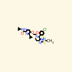 Cc1nn2c3c(nc2s1)CCN(C(=O)COc1ccc(C(=O)NC2CC2)nc1C1CC1)C3c1ccc(Cl)cc1F